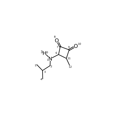 [3H]N(CC(C)C)C1C(=O)C(=O)C1C